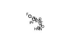 CC(C)c1cc(-c2ccc(F)cc2)nn2cc(C(=O)N3CCN(C(=O)c4nc[nH]n4)CC3(C)C)nc12